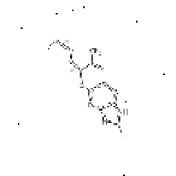 C=C(/C(=C\C=C/C)Sc1cnc2[nH]c(C)nc2n1)C(F)(F)F